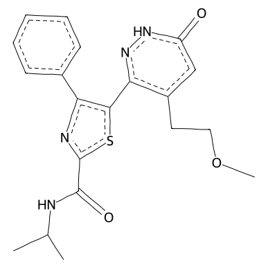 COCCc1cc(=O)[nH]nc1-c1sc(C(=O)NC(C)C)nc1-c1ccccc1